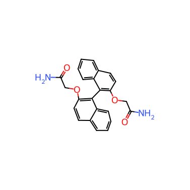 NC(=O)COc1ccc2ccccc2c1-c1c(OCC(N)=O)ccc2ccccc12